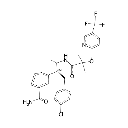 CC(NC(=O)C(C)(C)Oc1ccc(C(F)(F)F)cn1)[C@@H](Cc1ccc(Cl)cc1)c1cccc(C(N)=O)c1